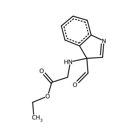 CCOC(=O)CNC1(C=O)C=Nc2ccccc21